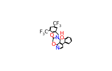 O=C1COc2nccc(-c3ccccc3O)c2CN1Cc1cc(C(F)(F)F)cc(C(F)(F)F)c1